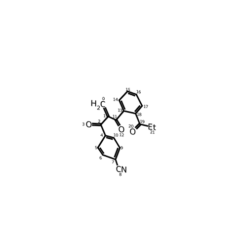 C=C(C(=O)c1ccc(C#N)cc1)C(=O)c1ccccc1C(=O)CC